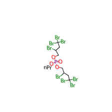 CCCOP(=O)(OCC(Br)CC(Br)(Br)Br)OCC(Br)CC(Br)(Br)Br